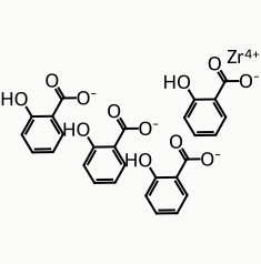 O=C([O-])c1ccccc1O.O=C([O-])c1ccccc1O.O=C([O-])c1ccccc1O.O=C([O-])c1ccccc1O.[Zr+4]